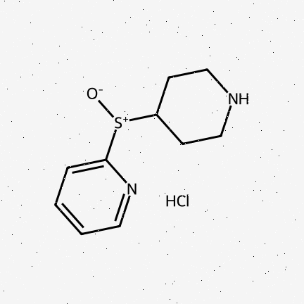 Cl.[O-][S+](c1ccccn1)C1CCNCC1